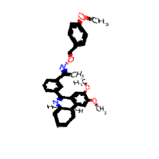 COc1ccc(CON=C(C)c2cccc(C3=N[C@@H]4CCCC[C@@H]4c4cc(OC)c(OC)cc43)c2)cc1